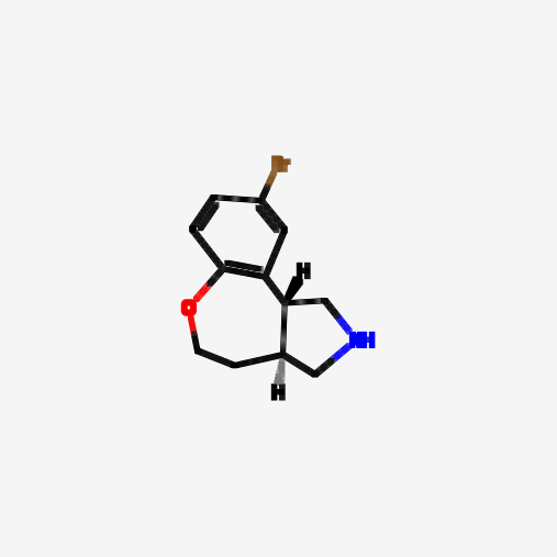 Brc1ccc2c(c1)[C@@H]1CNC[C@H]1CCO2